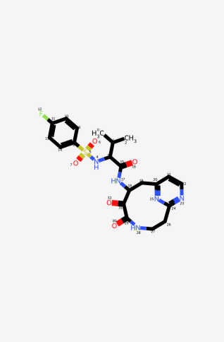 CC(C)C(NS(=O)(=O)c1ccc(F)cc1)C(=O)NC1Cc2ccnc(n2)CCNC(=O)C1=O